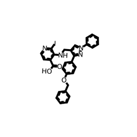 O=C(O)c1ccnc(I)c1NCc1cn(-c2ccccc2)nc1-c1ccc(OCc2ccccc2)cc1